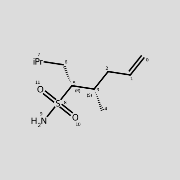 C=CC[C@H](C)[C@@H](CC(C)C)S(N)(=O)=O